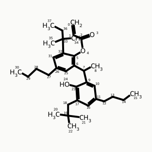 C=CC(=O)Oc1c(C(C)c2cc(CCCC)cc(CC(C)(C)C)c2O)cc(CCCC)cc1C(C)(C)CC